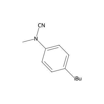 CCC(C)c1ccc(N(C)C#N)cc1